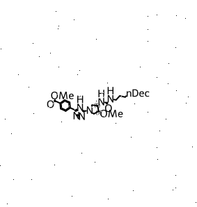 CCCCCCCCCCCCCNC(=O)N[C@H]1CN(c2nnc(-c3ccc(C(=O)OC)cc3)[nH]2)C[C@@H]1OC